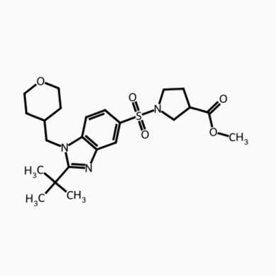 COC(=O)C1CCN(S(=O)(=O)c2ccc3c(c2)nc(C(C)(C)C)n3CC2CCOCC2)C1